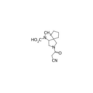 CN(C(=O)O)C1CN(C(=O)CC#N)CC12CCCC2